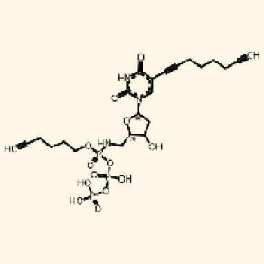 C#CCCCCC#Cc1cn([C@H]2CC(O)[C@@H](CNP(=O)(OCCCCC#C)OP(=O)(O)OP(=O)(O)O)O2)c(=O)[nH]c1=O